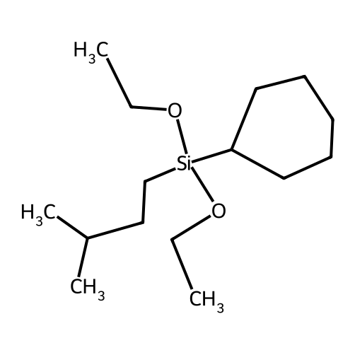 CCO[Si](CCC(C)C)(OCC)C1CCCCC1